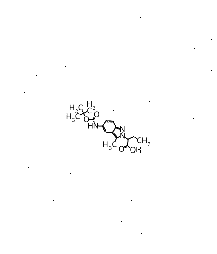 CCC(C(=O)O)n1nc2ccc(NC(=O)OC(C)(C)C)cc2c1C